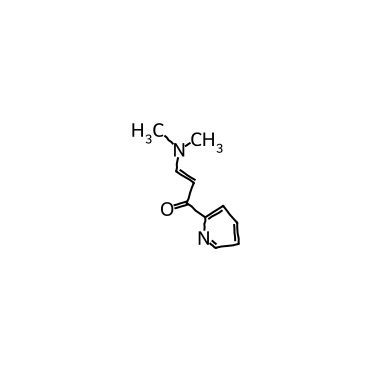 CN(C)C=CC(=O)c1ccccn1